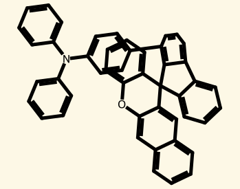 c1ccc(N(c2ccccc2)c2ccc(-c3cccc4c3C3(c5ccccc5Oc5cc6ccccc6cc53)c3ccccc3-4)cc2)cc1